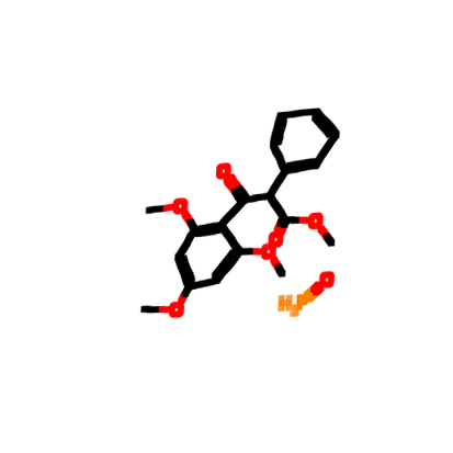 COC(=O)C(C(=O)c1c(OC)cc(OC)cc1OC)c1ccccc1.O=[PH3]